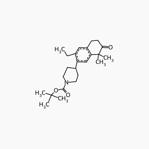 CCc1cc2c(cc1C1CCN(C(=O)OC(C)(C)C)CC1)C(C)(C)C(=O)CC2